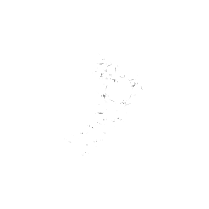 C=Cc1c(C)c2cc3nc(cc4[nH]c(cc5nc(cc1[nH]2)C(C)=C5CCC(=O)OCCOCCOCCOC)c(CCC(=O)OCCOCCOCCOC)c4C)[C@@]1(C)C3=CC=C(C(=O)OC)[C@H]1C(=O)OC